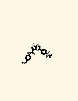 CC(C)S(=O)(=O)c1ccc(-c2cnc3[nH]cc(C(=O)NC4CCC(CO)CC4)c3n2)cc1